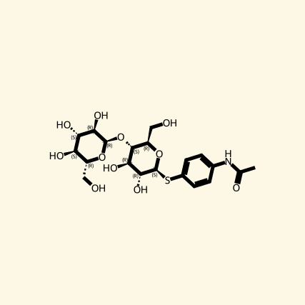 CC(=O)Nc1ccc(S[C@@H]2O[C@H](CO)[C@@H](O[C@H]3O[C@H](CO)[C@@H](O)[C@H](O)[C@H]3O)[C@H](O)[C@H]2O)cc1